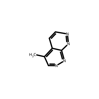 Cc1cnnc2nnccc12